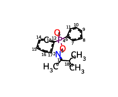 CC(=NOP(=O)(c1ccccc1)c1ccccc1)C(C)C